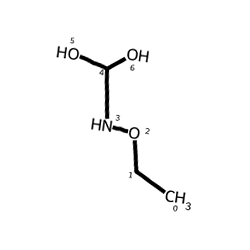 CCONC(O)O